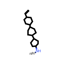 C=CC1CCC(C2CCC(C3CCC(NCCC)CC3)CC2)CC1